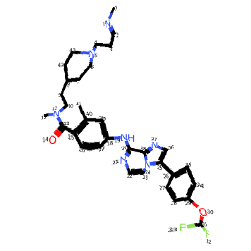 C/N=C/CCN1CCC(CCN(C)C(=O)c2ccc(Nc3nccn4c(-c5ccc(OC(F)F)cc5)cnc34)cc2C)CC1